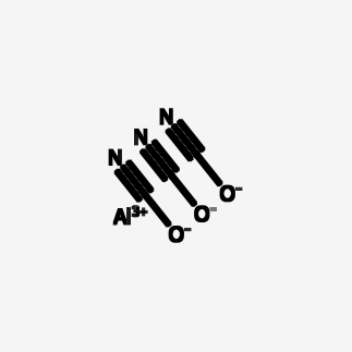 N#C[O-].N#C[O-].N#C[O-].[Al+3]